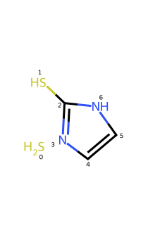 S.Sc1ncc[nH]1